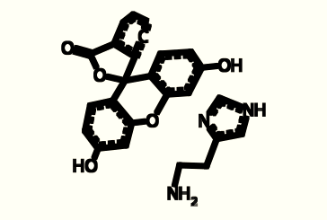 NCCc1c[nH]cn1.O=C1OC2(c3ccc(O)cc3Oc3cc(O)ccc32)c2ccccc21